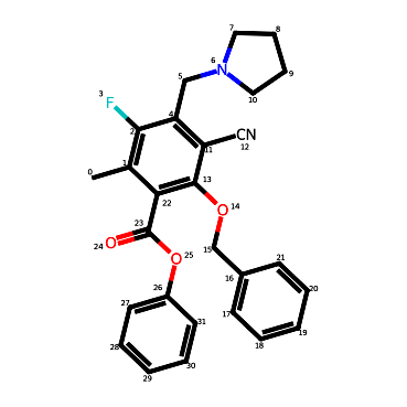 Cc1c(F)c(CN2CCCC2)c(C#N)c(OCc2ccccc2)c1C(=O)Oc1ccccc1